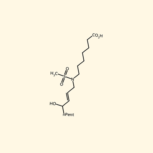 CCCCCC(O)C=CCN(CCCCCCC(=O)O)S(C)(=O)=O